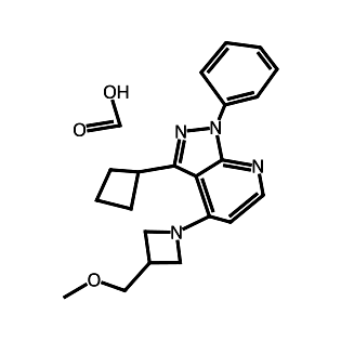 COCC1CN(c2ccnc3c2c(C2CCC2)nn3-c2ccccc2)C1.O=CO